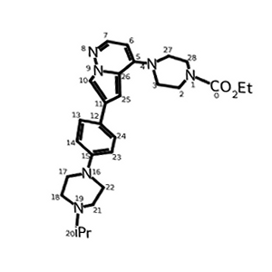 CCOC(=O)N1CCN(c2ccnn3cc(-c4ccc(N5CCN(C(C)C)CC5)cc4)cc23)CC1